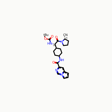 CC(C)(C)OC(=O)N[C@H](C(=O)N1CCC[C@H]1C#N)C1CCC(NC(=O)c2cc3cccn3cn2)CC1